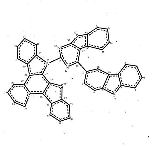 c1ccc2c(c1)sc1ccc(-c3nc(-n4c5ccccc5c5c6ccccc6c6c7ccccc7sc6c54)nc4sc5ccccc5c34)cc12